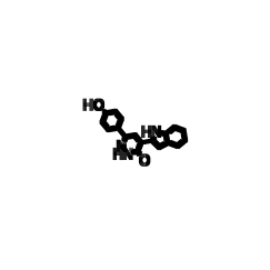 O=c1[nH]nc(-c2ccc(O)cc2)cc1-c1cc2ccccc2[nH]1